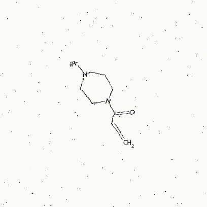 C=CC(=O)N1CCN(C(C)C)CC1